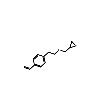 C=Cc1ccc(CCOCC2CO2)cc1